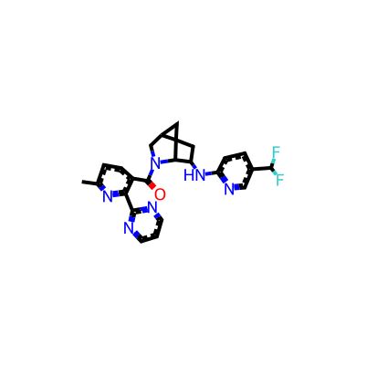 Cc1ccc(C(=O)N2CC3CC34CC(Nc3ccc(C(F)F)cn3)C24)c(-c2ncccn2)n1